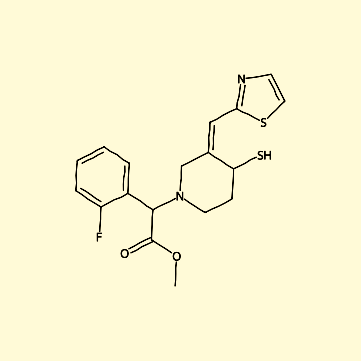 COC(=O)C(c1ccccc1F)N1CCC(S)/C(=C\c2nccs2)C1